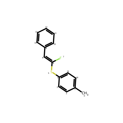 Cc1ccc(SC(F)=Cc2ccccc2)cc1